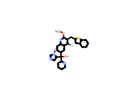 COc1nc2ccc(C(O)(c3ccccn3)c3cncn3C)cc2c(Cl)c1Cc1cc2ccccc2s1